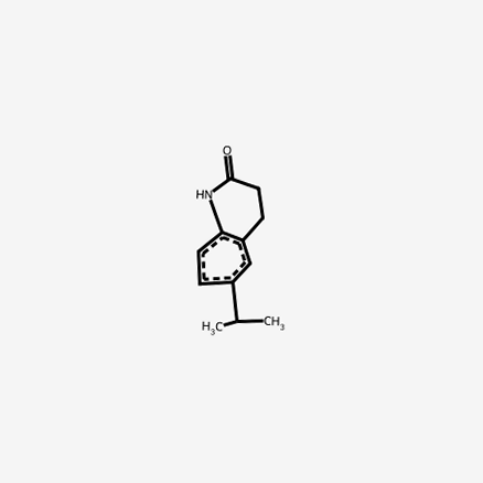 CC(C)c1ccc2c(c1)CCC(=O)N2